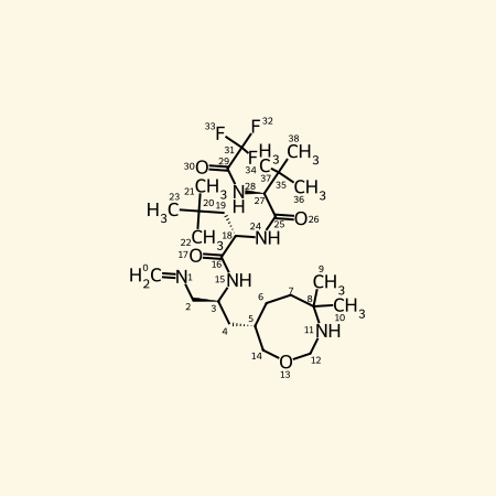 C=NC[C@H](C[C@@H]1CCC(C)(C)NCOC1)NC(=O)[C@H](CC(C)(C)C)NC(=O)[C@@H](NC(=O)C(F)(F)F)C(C)(C)C